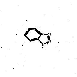 c1ccc2[siH]n[nH]c2c1